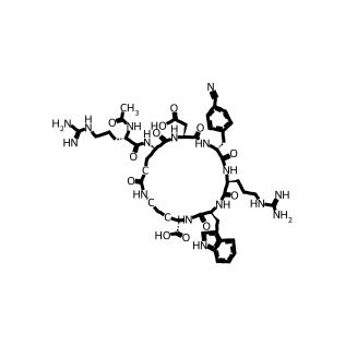 CC(=O)N[C@@H](CCCNC(=N)N)C(=O)N[C@H]1CCC(=O)NCCC[C@@H](C(=O)O)NC(=O)[C@H](Cc2c[nH]c3ccccc23)NC(=O)[C@H](CCCNC(=N)N)NC(=O)[C@@H](Cc2ccc(C#N)cc2)NC(=O)[C@H](CC(=O)O)NC1=O